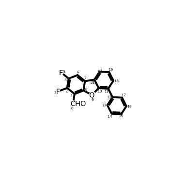 O=Cc1c(F)c(F)cc2c1oc1c(-c3ccccc3)cccc12